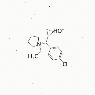 CC[N+]1(C(c2ccc(Cl)cc2)C2CC2)CCCC1.[OH-]